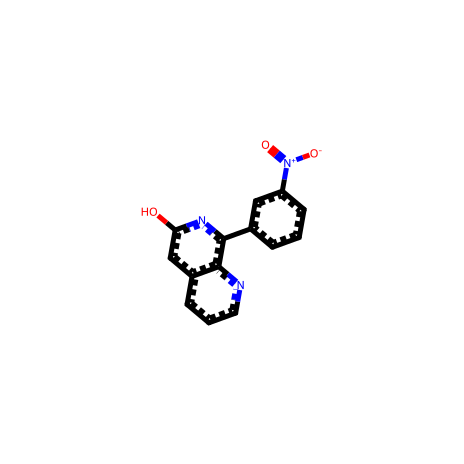 O=[N+]([O-])c1cccc(-c2nc(O)cc3cccnc23)c1